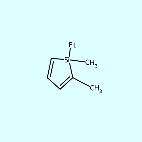 CC[Si]1(C)C=CC=C1C